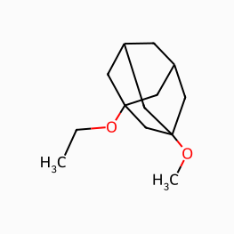 CCOC12CC3CC(CC(OC)(C3)C1)C2